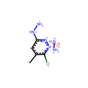 Cc1cc(NN)nnc1Cl.NN.O